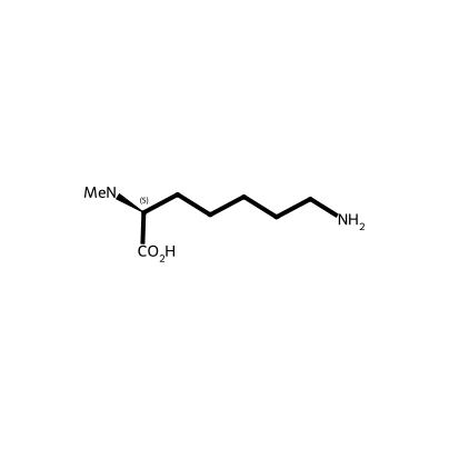 CN[C@@H](CCCCCN)C(=O)O